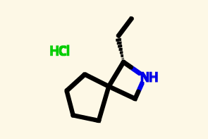 CC[C@@H]1NCC12CCCC2.Cl